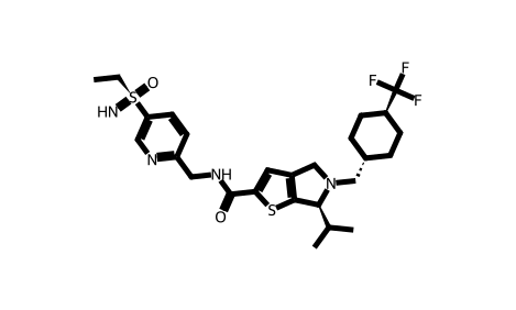 CC[S@@](=N)(=O)c1ccc(CNC(=O)c2cc3c(s2)[C@H](C(C)C)N(C[C@H]2CC[C@H](C(F)(F)F)CC2)C3)nc1